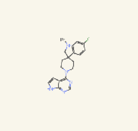 CC(C)NCC1(c2ccc(Cl)cc2)CCN(c2ncnc3[nH]ccc23)CC1